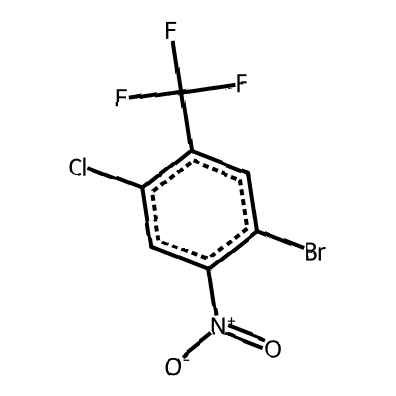 O=[N+]([O-])c1cc(Cl)c(C(F)(F)F)cc1Br